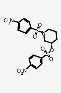 O=[N+]([O-])c1ccc(S(=O)(=O)O[C@@H]2CCCN(S(=O)(=O)c3ccc([N+](=O)[O-])cc3)C2)cc1